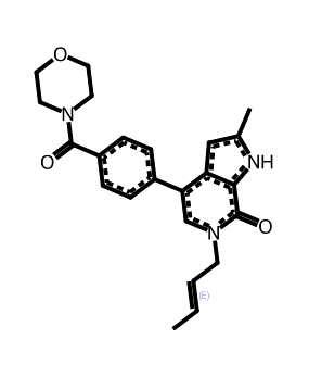 C/C=C/Cn1cc(-c2ccc(C(=O)N3CCOCC3)cc2)c2cc(C)[nH]c2c1=O